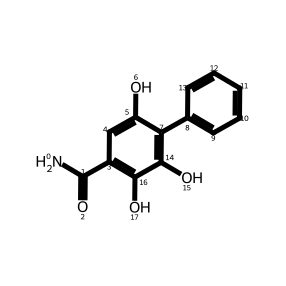 NC(=O)c1cc(O)c(-c2ccccc2)c(O)c1O